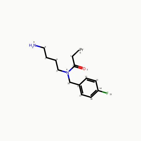 CC(C)CC(=O)N(CCCCN)Cc1ccc(F)cc1